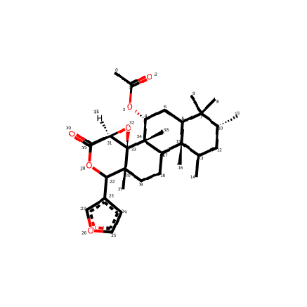 CC(=O)O[C@@H]1CC2C(C)(C)[C@H](C)CC(C)[C@]2(C)C2CCC3(C)C(c4ccoc4)OC(=O)[C@H]4O[C@]43[C@@]21C